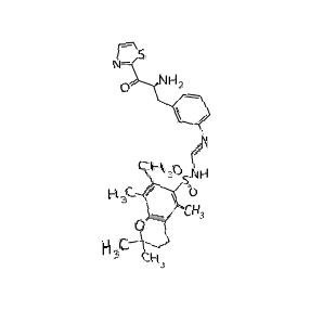 Cc1c(C)c(S(=O)(=O)N/C=N/c2cccc(C[C@H](N)C(=O)c3nccs3)c2)c(C)c2c1OC(C)(C)CC2